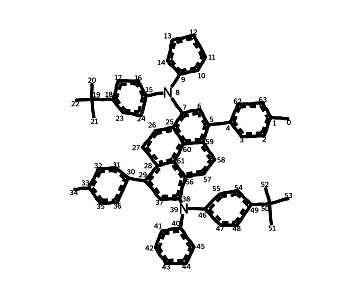 Cc1ccc(-c2cc(N(c3ccccc3)c3ccc(C(C)(C)C)cc3)c3ccc4c(-c5ccc(C)cc5)cc(N(c5ccccc5)c5ccc(C(C)(C)C)cc5)c5ccc2c3c45)cc1